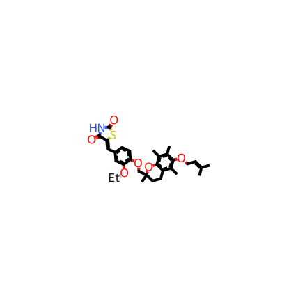 CCOc1cc(/C=C2\SC(=O)NC2=O)ccc1OCC1(C)CCc2c(C)c(OCC=C(C)C)c(C)c(C)c2O1